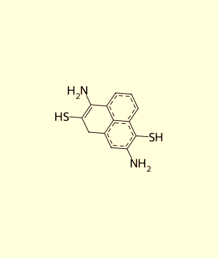 NC1=C(S)Cc2cc(N)c(S)c3cccc1c23